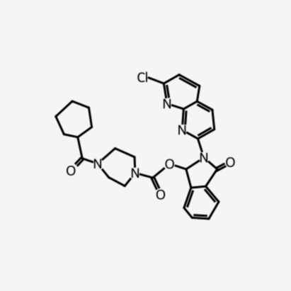 O=C(OC1c2ccccc2C(=O)N1c1ccc2ccc(Cl)nc2n1)N1CCN(C(=O)C2CCCCC2)CC1